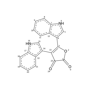 O=C1OC(c2c[nH]c3ccccc23)=C(c2c[nH]c3ccccc23)C1=O